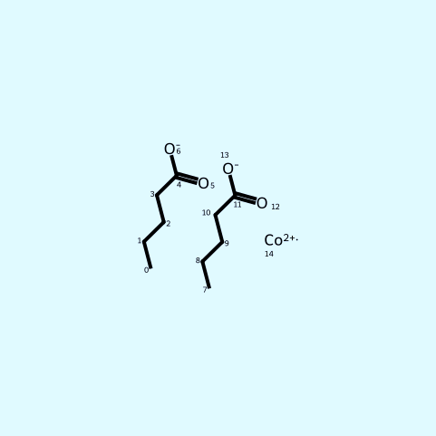 CCCCC(=O)[O-].CCCCC(=O)[O-].[Co+2]